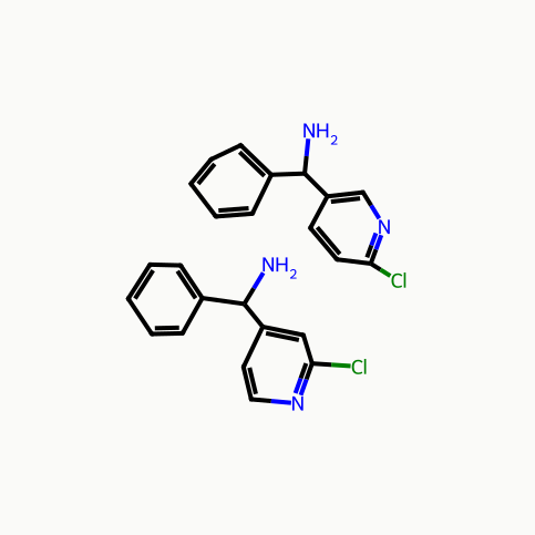 NC(c1ccccc1)c1ccc(Cl)nc1.NC(c1ccccc1)c1ccnc(Cl)c1